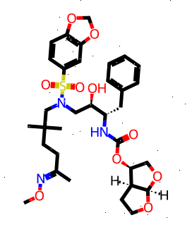 CO/N=C(\C)CCC(C)(C)CN(C[C@@H](O)[C@H](Cc1ccccc1)NC(=O)O[C@H]1CO[C@H]2OCC[C@H]21)S(=O)(=O)c1ccc2c(c1)OCO2